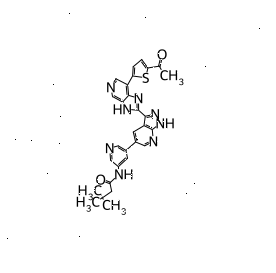 CC(=O)c1ccc(-c2cncc3[nH]c(-c4n[nH]c5ncc(-c6cncc(NC(=O)CC(C)(C)C)c6)cc45)nc23)s1